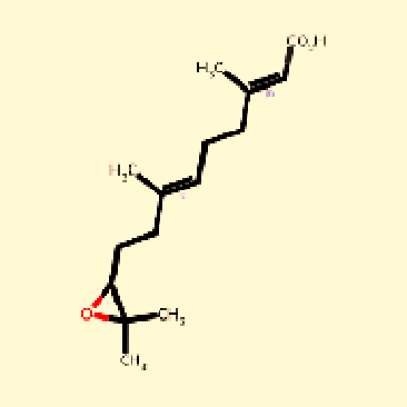 C/C(=C\C(=O)O)CC/C=C(\C)CCC1OC1(C)C